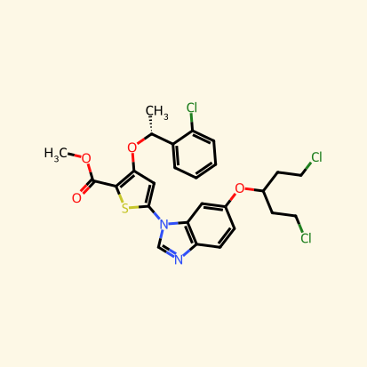 COC(=O)c1sc(-n2cnc3ccc(OC(CCCl)CCCl)cc32)cc1O[C@H](C)c1ccccc1Cl